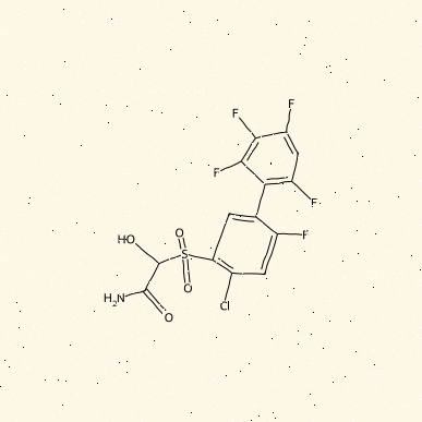 NC(=O)C(O)S(=O)(=O)c1cc(-c2c(F)cc(F)c(F)c2F)c(F)cc1Cl